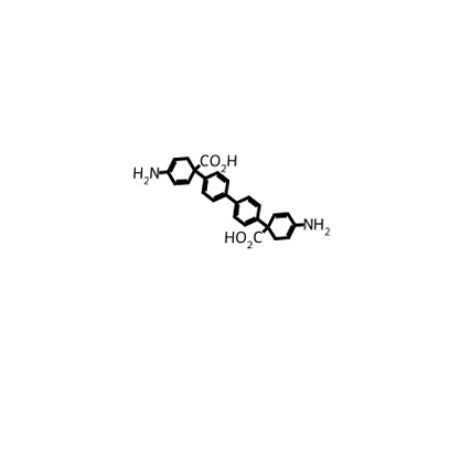 NC1=CCC(C(=O)O)(c2ccc(-c3ccc(C4(C(=O)O)C=CC(N)=CC4)cc3)cc2)C=C1